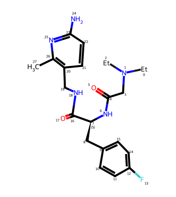 CCN(CC)CC(=O)N[C@@H](Cc1ccc(F)cc1)C(=O)NCc1ccc(N)nc1C